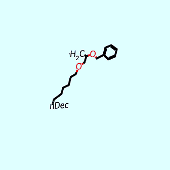 [CH2]C(COCCCCCCCCCCCCCCCC)OCc1ccccc1